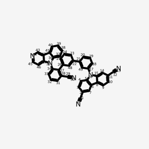 N#Cc1ccc2c(c1)c1ccc(C#N)cc1n2-c1cccc(-c2cccc(-c3c(C#N)cccc3-n3c4ccccc4c4cnccc43)c2)c1